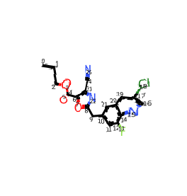 CCCOC(=O)c1oc(Cc2cc(F)c3ncc(Cl)cc3c2)nc1C#N